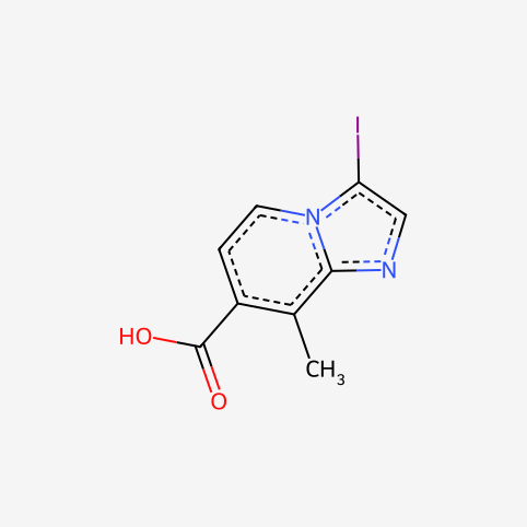 Cc1c(C(=O)O)ccn2c(I)cnc12